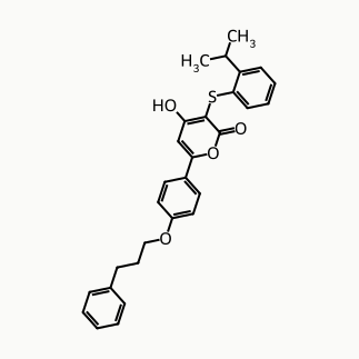 CC(C)c1ccccc1Sc1c(O)cc(-c2ccc(OCCCc3ccccc3)cc2)oc1=O